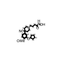 COc1ccc(C2(C#N)CCN(CCCC(=O)NO)CC2)cc1OC1CCCC1